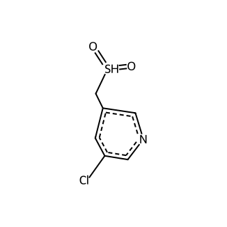 O=[SH](=O)Cc1cncc(Cl)c1